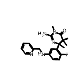 CN1C(=O)C(C)(C)C(C)(c2cc(NCc3ccccn3)ccc2F)N=C1N